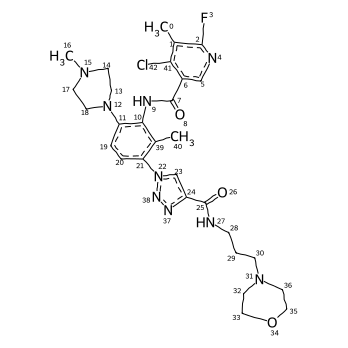 Cc1c(F)ncc(C(=O)Nc2c(N3CCN(C)CC3)ccc(-n3cc(C(=O)NCCCN4CCOCC4)nn3)c2C)c1Cl